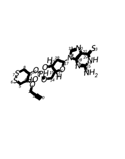 C#CCO[C@H]1CSSC[C@@H]1O[PH]1(O)OC[C@H]2O[C@@H](n3cnc4c(=S)[nH]c(N)nc43)C[C@@H]2O1